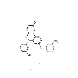 Nc1cccc(Oc2ccc(C3=CC(=O)C=CC3=O)c(Oc3cccc(N)c3)c2)c1